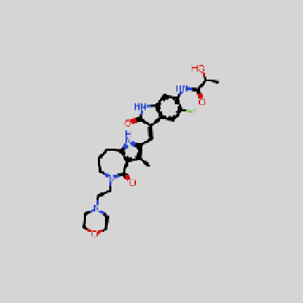 Cc1c(C=C2C(=O)Nc3cc(NC(=O)[C@H](C)O)c(F)cc32)[nH]c2c1C(=O)N(CCN1CCOCC1)CCC2